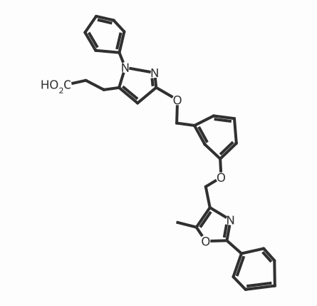 Cc1oc(-c2ccccc2)nc1COc1cccc(COc2cc(CCC(=O)O)n(-c3ccccc3)n2)c1